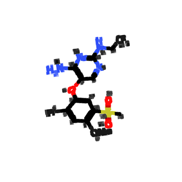 COc1cc(C(C)C)c(Oc2cnc(NCC(F)(F)F)nc2N)cc1S(C)(=O)=O